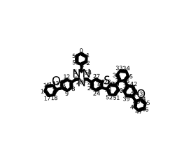 c1ccc(-c2nc(-c3ccc4c(c3)oc3ccccc34)nc(-c3ccc4c(c3)sc3c(-c5ccccc5-c5ccc6c(c5)oc5ccccc56)cccc34)n2)cc1